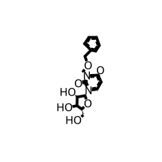 O=c1ccn([C@@H]2O[C@H](CO)C(O)[C@@H]2O)c(=O)n1COCc1ccccc1